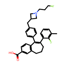 Cc1cccc(C2=C(c3ccc(CC4CN(CCCF)C4)cc3)c3ccc(C(=O)O)cc3CCC2)c1F